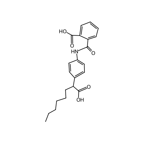 CCCCCCC(C(=O)O)c1ccc(NC(=O)c2ccccc2C(=O)O)cc1